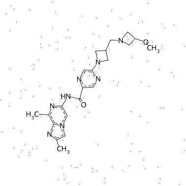 COC1CN(CC2CN(c3cnc(C(=O)Nc4cn5cc(C)nc5c(C)n4)cn3)C2)C1